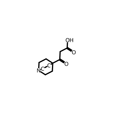 O=C(O)CC(=O)C12CCN(CC1)CC2